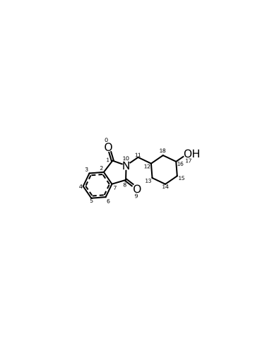 O=C1c2ccccc2C(=O)N1CC1CCCC(O)C1